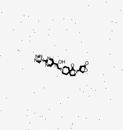 O=C1C=C(N2CCC3(CCN(C[C@@H](O)c4cnc(-n5cnnn5)nc4)CC3)C2=O)CO1